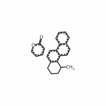 CC1CCCc2ccc3c(ccc4ccccc43)c21.O=c1cccco1